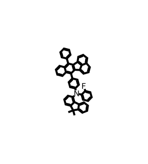 CC1(C)c2ccccc2-c2c(N(c3ccc(-c4c5c(c(-c6ccccc6)c6ccccc46)-c4cccc6cccc-5c46)cc3)c3ccccc3F)cccc21